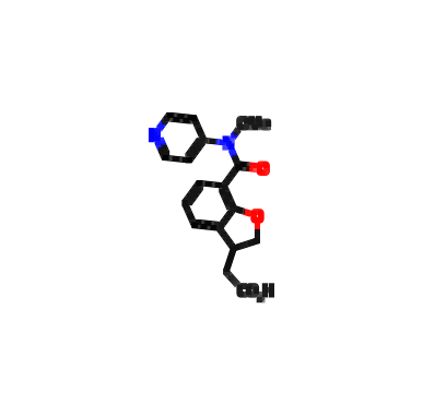 CON(C(=O)c1cccc2c1OCC2CC(=O)O)c1ccncc1